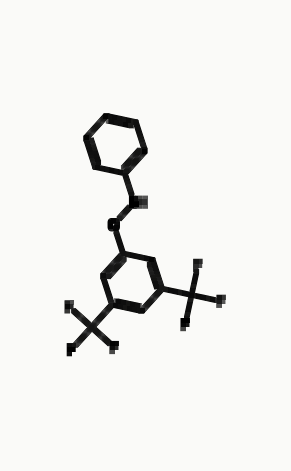 FC(F)(F)c1cc(OBc2ccccc2)cc(C(F)(F)F)c1